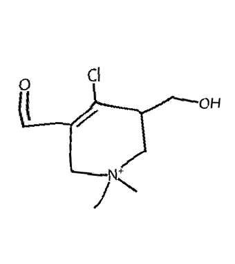 C[N+]1(C)CC(C=O)=C(Cl)C(CO)C1